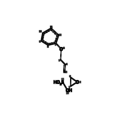 C1CO1.C=CCOc1ccccc1.O=S(=O)(O)O